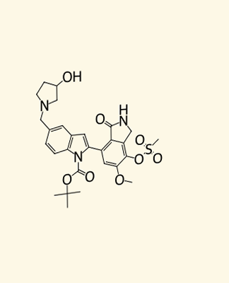 COc1cc(-c2cc3cc(CN4CCC(O)C4)ccc3n2C(=O)OC(C)(C)C)c2c(c1OS(C)(=O)=O)CNC2=O